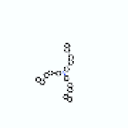 c1ccc2cc(-c3ccc4ccc(-c5ccc(N(c6ccc(-c7ccc8ccc(-c9cccc%10ccccc9%10)cc8c7)cc6)c6ccc(-c7ccc8ccc(-c9cccc%10ccccc9%10)cc8c7)cc6)cc5)cc4c3)ccc2c1